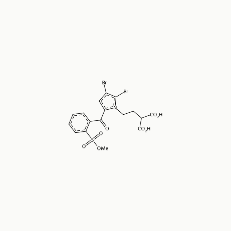 COS(=O)(=O)c1ccccc1C(=O)c1cc(Br)c(Br)n1CCC(C(=O)O)C(=O)O